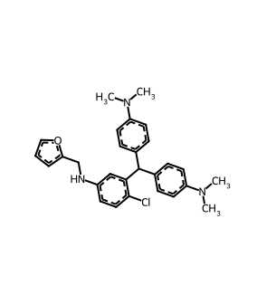 CN(C)c1ccc(C(c2ccc(N(C)C)cc2)c2cc(NCc3ccco3)ccc2Cl)cc1